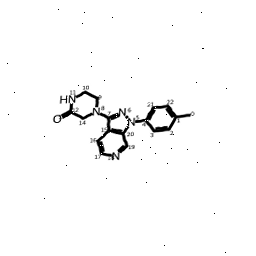 Cc1ccc(-n2nc(N3CCNC(=O)C3)c3ccncc32)cc1